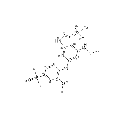 CCNc1nc(Nc2ccc(P(C)(C)=O)cc2OC)nc2[nH]cc(C(F)(F)F)c12